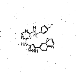 C[C@H](Nc1ncnc(Nc2cc(-c3ccc4nccnc4c3)[nH]n2)n1)c1ccc(F)cc1